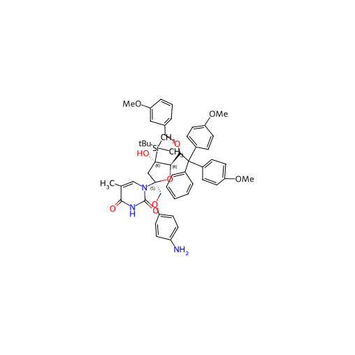 COc1ccc(C(c2ccccc2)(c2ccc(OC)cc2)C(OCc2cccc(OC)c2)[C@H]2O[C@@](COc3ccc(N)cc3)(n3cc(C)c(=O)[nH]c3=O)C[C@@]2(O)[Si](C)(C)C(C)(C)C)cc1